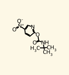 CC(C)(C)NC(=O)Oc1ccc([N+](=O)[O-])cn1